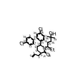 C=CC[C@@]1(C)C[C@H](c2cccc(Cl)c2)C(c2ccc(Cl)cc2)N(C(CC)CCC(C)(C)O)C1=O